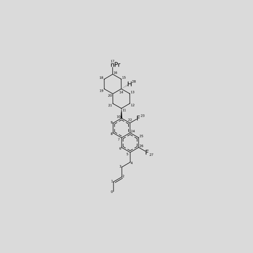 C/C=C/CCc1cc2ccc([C@@H]3CC[C@@H]4CC(CCC)CCC4C3)c(F)c2cc1F